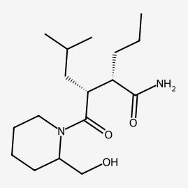 CCC[C@H](C(N)=O)[C@@H](CC(C)C)C(=O)N1CCCCC1CO